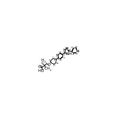 CC(C)(COC1CCN(c2ccc(-c3nnc(-c4ccncc4)[nH]3)cn2)CC1)C(=O)O